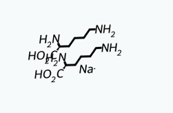 NCCCC[C@H](N)C(=O)O.NCCCC[C@H](N)C(=O)O.[Na]